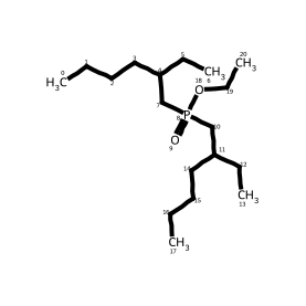 CCCCC(CC)CP(=O)(CC(CC)CCCC)OCC